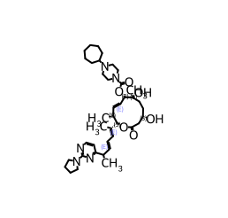 C/C(=C\C=C\C(C)c1ccnc(N2CCCC2)n1)[C@H]1OC(=O)C[C@@H](O)CC[C@](C)(O)[C@H](OC(=O)N2CCN(C3CCCCCC3)CC2)/C=C/[C@@H]1C